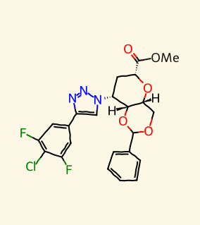 COC(=O)[C@H]1C[C@@H](n2cc(-c3cc(F)c(Cl)c(F)c3)nn2)[C@H]2OC(c3ccccc3)OC[C@H]2O1